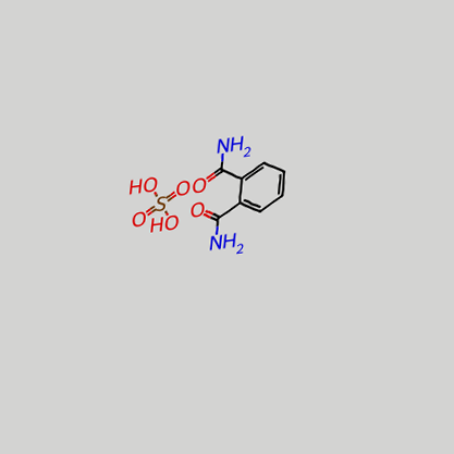 NC(=O)c1ccccc1C(N)=O.O=S(=O)(O)O